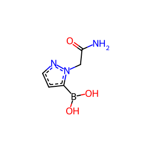 NC(=O)Cn1nccc1B(O)O